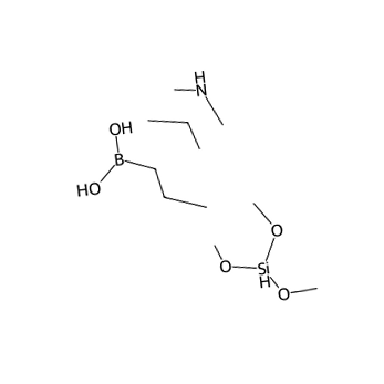 CCC.CCCB(O)O.CNC.CO[SiH](OC)OC